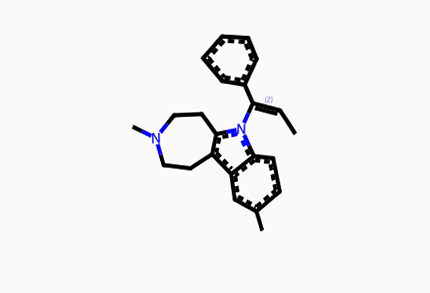 C/C=C(/c1ccccc1)n1c2c(c3cc(C)ccc31)CCN(C)CC2